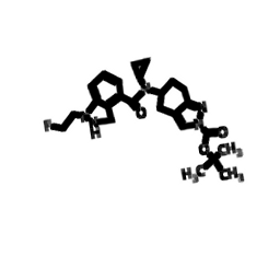 CC(C)(C)OC(=O)n1cc2c(n1)CCC(N(C(=O)c1cccc3c1CNN3CCF)C1CC1)C2